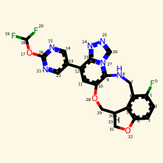 Fc1ccc2c3c1CNc1c(cc(-c4cnc(OC(F)F)nc4)c4nncn14)OC[C@@H]3CO2